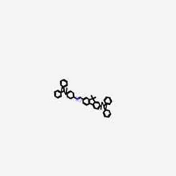 CC1(C)c2cc(/C=C/C3CC=C(N(c4ccccc4)c4ccccc4)CC3)ccc2-c2ccc(N(c3ccccc3)C3C=CC=CC3)cc21